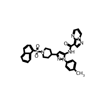 Cc1ccc(-n2nc(C3CCN(S(=O)(=O)c4cccc5ccccc45)CC3)cc2NC(=O)c2cnn3cccnc23)cc1